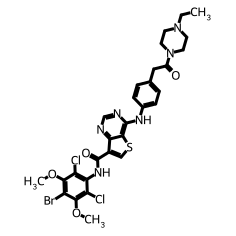 CCN1CCN(C(=O)Cc2ccc(Nc3ncnc4c(C(=O)Nc5c(Cl)c(OC)c(Br)c(OC)c5Cl)csc34)cc2)CC1